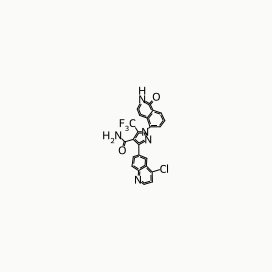 NC(=O)c1c(-c2ccc3nccc(Cl)c3c2)nn(-c2cccc3c(=O)[nH]ccc23)c1C(F)(F)F